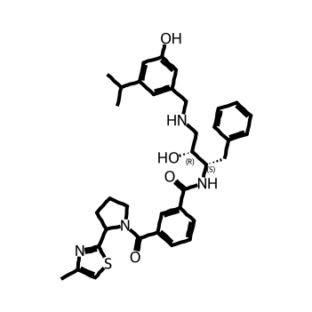 Cc1csc(C2CCCN2C(=O)c2cccc(C(=O)N[C@@H](Cc3ccccc3)[C@H](O)CNCc3cc(O)cc(C(C)C)c3)c2)n1